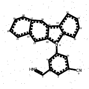 N#Cc1cc(C=N)cc(-n2c3ccccc3c3cc4ccccc4cc32)c1